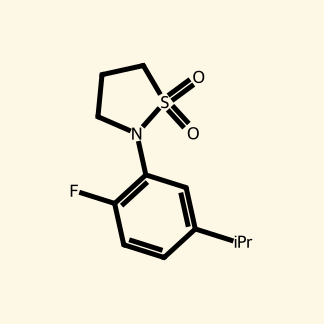 CC(C)c1ccc(F)c(N2CCCS2(=O)=O)c1